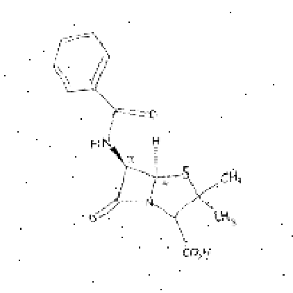 CC1(C)S[C@@H]2[C@H](NC(=O)c3ccccc3)C(=O)N2C1C(=O)O